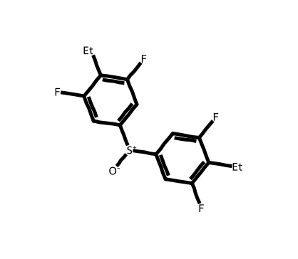 CCc1c(F)cc([S+]([O-])c2cc(F)c(CC)c(F)c2)cc1F